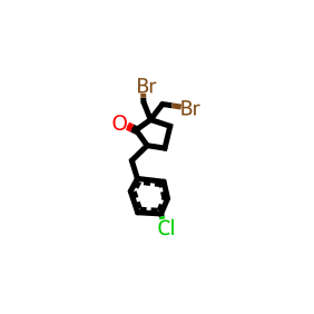 O=C1C(Cc2ccc(Cl)cc2)CCC1(CBr)CBr